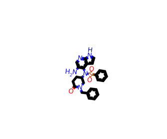 Nc1cnc2[nH]ccc2c1N(C1CCC(=O)N(Cc2ccccc2)C1)S(=O)(=O)c1ccccc1